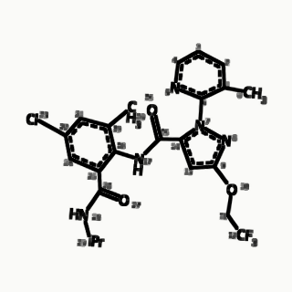 Cc1cccnc1-n1nc(OCC(F)(F)F)cc1C(=O)Nc1c(C)cc(Cl)cc1C(=O)NC(C)C